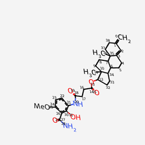 C=C1C=C2CCC3C(CCC4(C)C(OC(=O)CCC(=O)Nc5ccc(OC)c(C(N)=O)c5O)CCC34)C2(C)CC1